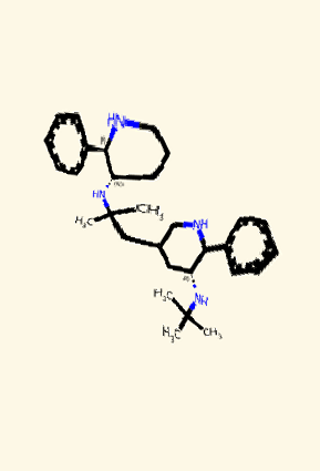 CC(C)(C)N[C@@H]1CC(CC(C)(C)N[C@H]2CCCN[C@@H]2c2ccccc2)CNC1c1ccccc1